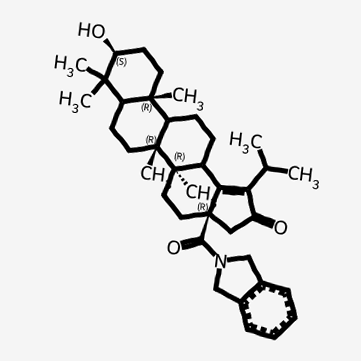 CC(C)C1=C2C3CCC4[C@@]5(C)CC[C@H](O)C(C)(C)C5CC[C@@]4(C)[C@]3(C)CC[C@@]2(C(=O)N2Cc3ccccc3C2)CC1=O